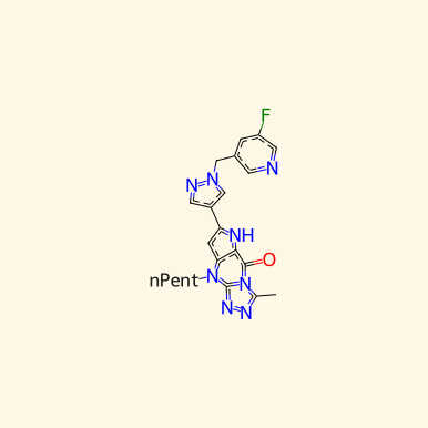 CCCCCn1c2cc(-c3cnn(Cc4cncc(F)c4)c3)[nH]c2c(=O)n2c(C)nnc12